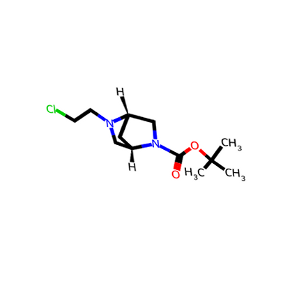 CC(C)(C)OC(=O)N1C[C@@H]2C[C@H]1CN2CCCl